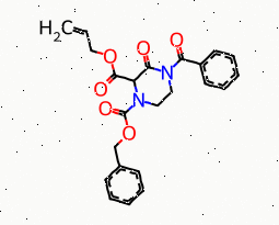 C=CCOC(=O)C1C(=O)N(C(=O)c2ccccc2)CCN1C(=O)OCc1ccccc1